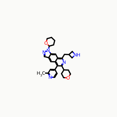 Cc1cc(-c2c(C3CCOCC3)nc(CC3CNC3)c3cc4c(cnn4C4CCCCO4)cc23)ccn1